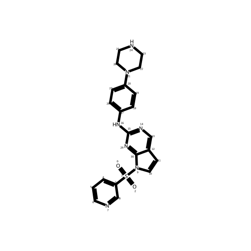 O=S(=O)(c1cccnc1)n1ccc2cnc(Nc3ccc(N4CCNCC4)cc3)nc21